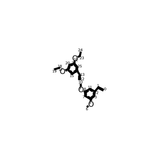 C=Cc1cc(OC)cc(OC)c1.C=Cc1cc(OCC)cc(OCC)c1